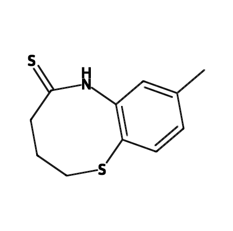 Cc1ccc2c(c1)NC(=S)CCCS2